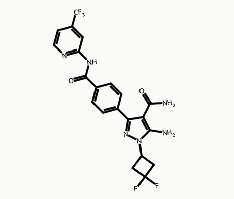 NC(=O)c1c(-c2ccc(C(=O)Nc3cc(C(F)(F)F)ccn3)cc2)nn(C2CC(F)(F)C2)c1N